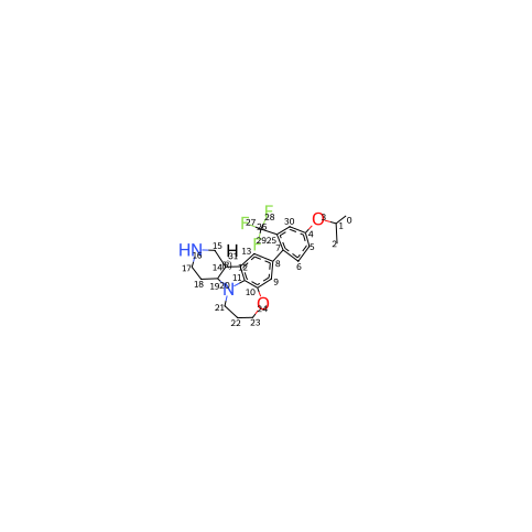 CC(C)Oc1ccc(-c2cc3c4c(c2)[C@@H]2CNCCC2N4CCCO3)c(C(F)(F)F)c1